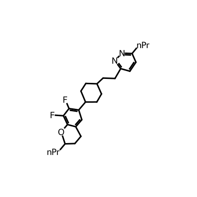 CCCc1ccc(CCC2CCC(c3cc4c(c(F)c3F)OC(CCC)CC4)CC2)nn1